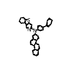 c1ccc(-c2ccc(N(c3ccc4c(ccc5c6ccccc6ccc45)c3)c3cc4sc5ccccc5c4cn3)cc2)cc1